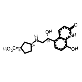 O=C(O)[C@@H]1CC[C@H](NC[C@H](O)c2ccc(O)c3[nH]c(=O)ccc23)C1